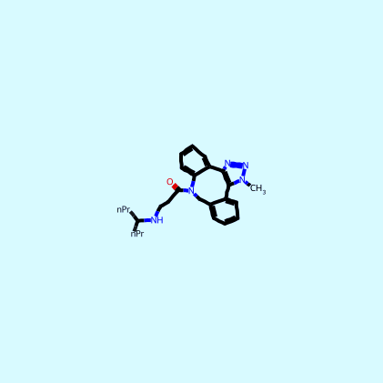 CCCC(CCC)NCCC(=O)N1Cc2ccccc2-c2c(nnn2C)-c2ccccc21